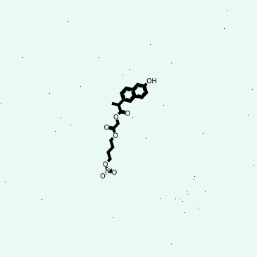 CC(C(=O)OCC(=O)OCCCCO[N+](=O)[O-])c1ccc2cc(O)ccc2c1